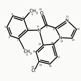 Cc1cccc(C)c1-n1c(=O)c2nccn2c2ccc(Cl)cc21